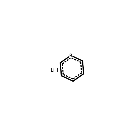 [LiH].b1ccccc1